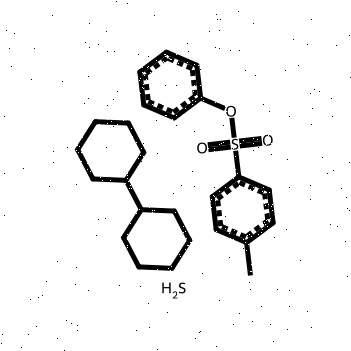 C1CCC(C2CCCCC2)CC1.Cc1ccc(S(=O)(=O)Oc2ccccc2)cc1.S